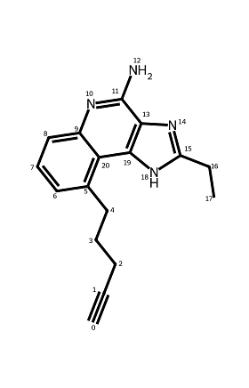 C#CCCCc1cccc2nc(N)c3nc(CC)[nH]c3c12